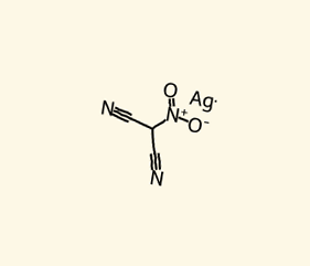 N#CC(C#N)[N+](=O)[O-].[Ag]